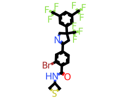 O=C(NC1CSC1)c1ccc(C2=NCC(c3cc(C(F)(F)F)cc(C(F)(F)F)c3)(C(F)(F)F)C2)cc1Br